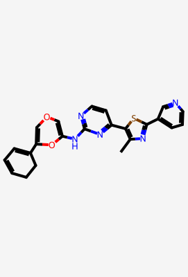 Cc1nc(-c2cccnc2)sc1-c1ccnc(NC2=COC=C(C3=CC=CCC3)O2)n1